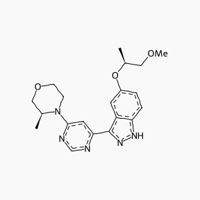 COC[C@H](C)Oc1ccc2[nH]nc(-c3cc(N4CCOC[C@@H]4C)ncn3)c2c1